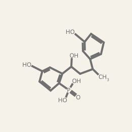 CC(CC(O)c1cc(O)ccc1P(=O)(O)O)c1cccc(O)c1